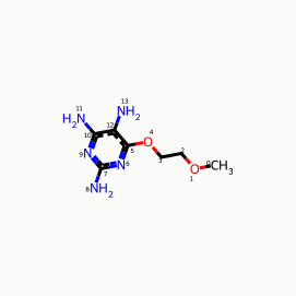 COCCOc1nc(N)nc(N)c1N